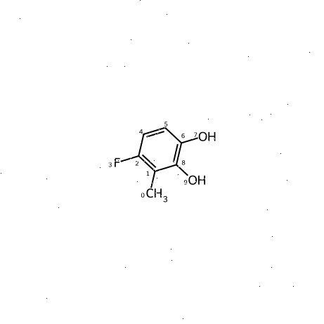 Cc1c(F)ccc(O)c1O